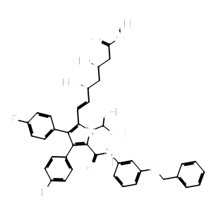 COC(=O)C[C@H](O)C[C@H](O)C=Cc1c(-c2ccc(F)cc2)c(-c2ccc(F)cc2)c(C(=O)Nc2cccc(OCc3ccccc3)c2)n1C(C)C